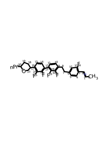 C/C=C/c1ccc(CCc2ccc(-c3ccc(C4CCC(CCC)OC4)c(F)c3F)c(F)c2F)cc1F